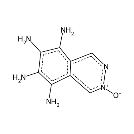 Nc1c(N)c(N)c2c[n+]([O-])ncc2c1N